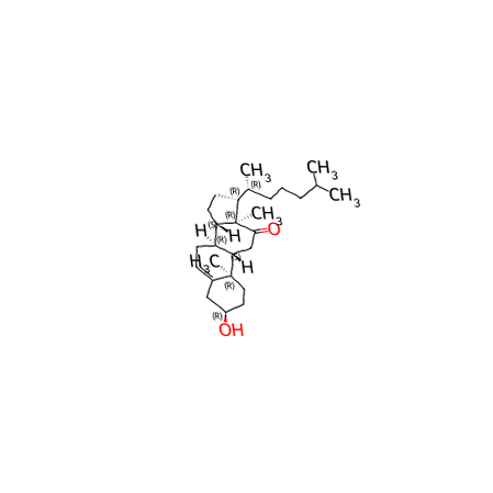 CC(C)CCC[C@@H](C)[C@H]1CC[C@H]2[C@@H]3CC=C4C[C@H](O)CC[C@]4(C)[C@H]3CC(=O)[C@]12C